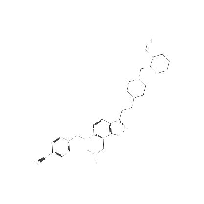 CN(C)Cc1c(OCc2ccc(C#N)cc2)ccc2c(CCC3CCN(C[C@@H]4CCCC[C@@H]4CO)CC3)noc12